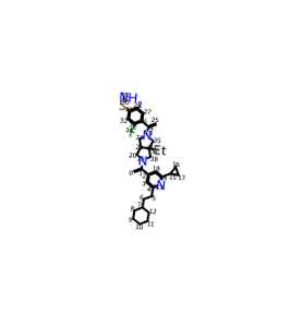 C=C(c1cc(CCC2CCCCC2)nc(C2CC2)c1)N1CC2CN(C(=C)c3ccc(SN)cc3F)CC2(CC)C1